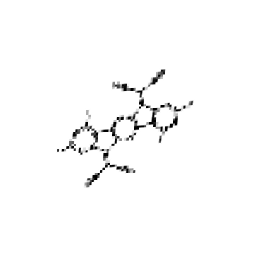 N#CC(C#N)=C1c2cc3c(cc2-c2c(F)cc(F)cc21)C(=C(C#N)C#N)c1cc(F)cc(F)c1-3